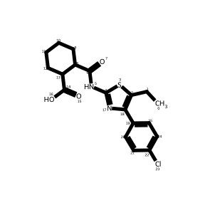 CCc1sc(NC(=O)C2CCCCC2C(=O)O)nc1-c1ccc(Cl)cc1